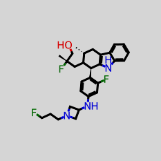 C[C@@H]1Cc2c([nH]c3ccccc23)[C@@H](c2ccc(NC3CN(CCCF)C3)cc2F)C1C[C@](C)(F)CO